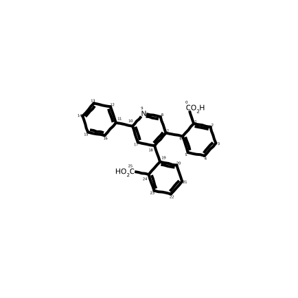 O=C(O)c1ccccc1-c1cnc(-c2ccccc2)cc1-c1ccccc1C(=O)O